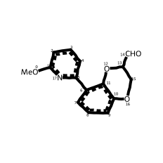 COc1cccc(-c2cccc3c2OC(C=O)CO3)n1